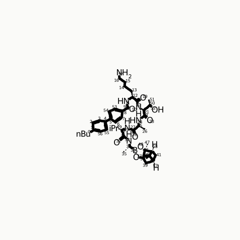 CCCCc1ccc(-c2ccc(C(=O)N[C@@H](CCCCN)C(=O)N[C@H](C(=O)N[C@@H](C)C(=O)N[C@H](C(=O)N[C@@H](C)B3OC4C[C@@H]5C[C@@H](C5(C)C)[C@]4(C)O3)C(C)C)[C@@H](C)O)cc2)cc1